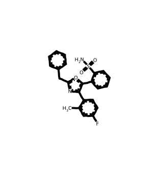 Cc1cc(F)ccc1-c1nc(Cc2ccccc2)oc1-c1ccccc1S(N)(=O)=O